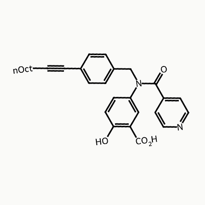 CCCCCCCCC#Cc1ccc(CN(C(=O)c2ccncc2)c2ccc(O)c(C(=O)O)c2)cc1